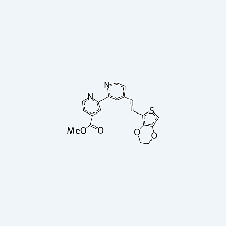 COC(=O)c1ccnc(-c2cc(C=Cc3scc4c3OCCO4)ccn2)c1